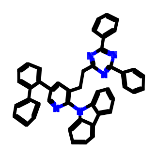 c1ccc(-c2nc(CCc3cc(-c4ccccc4-c4ccccc4)cnc3-n3c4ccccc4c4ccccc43)nc(-c3ccccc3)n2)cc1